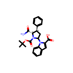 CC(C)(C)OC(=O)N1C(n2c(C(=O)O)cc3ccccc32)C[C@H](c2ccccc2)[C@H]1C(N)=O